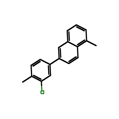 Cc1ccc(-c2ccc3c(C)cccc3c2)cc1Cl